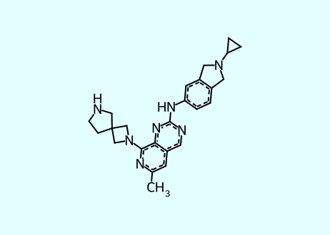 Cc1cc2cnc(Nc3ccc4c(c3)CN(C3CC3)C4)nc2c(N2CC3(CCNC3)C2)n1